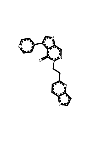 O=c1c2c(-c3ccncc3)csc2cnn1CCc1ccc2sccc2n1